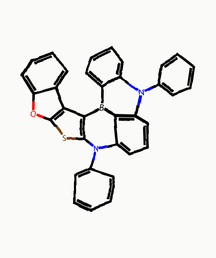 c1ccc(N2c3ccccc3B3c4c2cccc4N(c2ccccc2)c2sc4oc5ccccc5c4c23)cc1